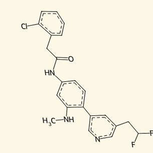 CNc1cc(NC(=O)Cc2ccccc2Cl)ccc1-c1cncc(CC(F)F)c1